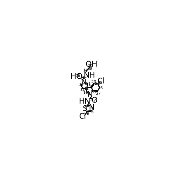 O=C(Nc1ncc(Cl)s1)N1CC2(CCN(C(O)NCCO)C2)C2=CC(Cl)CC=C21